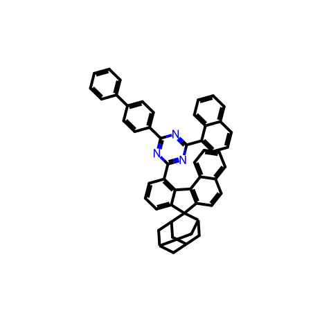 c1ccc(-c2ccc(-c3nc(-c4cccc5c4-c4c(ccc6ccccc46)C54C5CC6CC(C5)CC4C6)nc(-c4cccc5ccccc45)n3)cc2)cc1